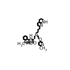 CNc1ccccc1C(=N)N[C@@H](CCN(CCCCc1ccc2c(n1)NCCC2)CCOc1ccc(C)nc1)C(=O)O